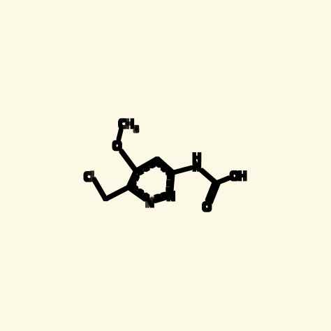 COc1cc(NC(=O)O)nnc1CCl